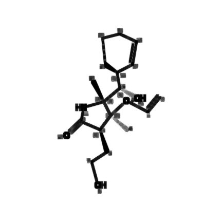 C=CO[C@@]1(C)[C@@H](CCO)C(=O)N[C@]1(C)[C@@H](O)[C@@H]1C=CCCC1